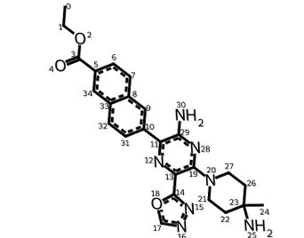 CCOC(=O)c1ccc2cc(-c3nc(-c4nnco4)c(N4CCC(C)(N)CC4)nc3N)ccc2c1